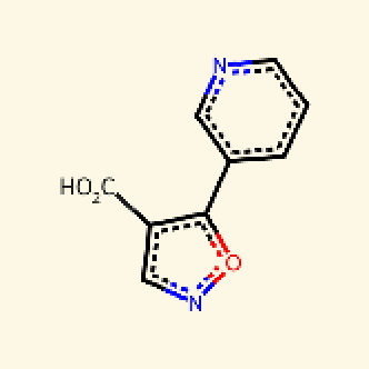 O=C(O)c1cnoc1-c1cccnc1